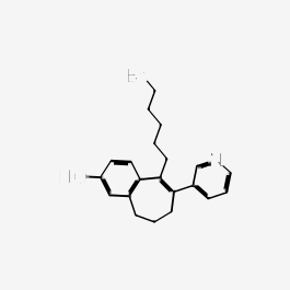 Oc1ccc2c(c1)CCCC(c1cccnc1)=C2CCCCCBr